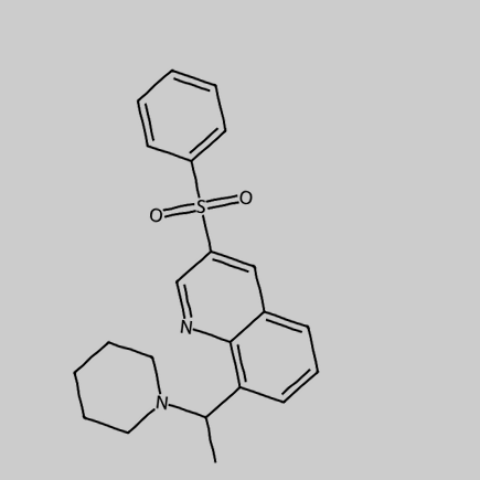 CC(c1cccc2cc(S(=O)(=O)c3ccccc3)cnc12)N1CCCCC1